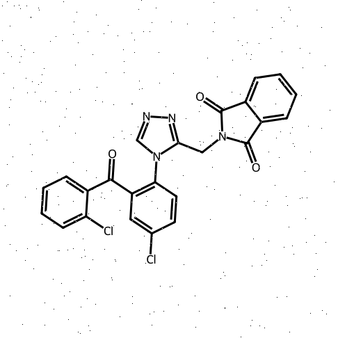 O=C(c1ccccc1Cl)c1cc(Cl)ccc1-n1cnnc1CN1C(=O)c2ccccc2C1=O